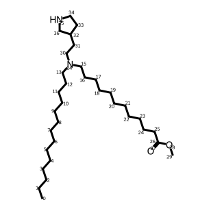 CCCCCCCCCCCCCCN(CCCCCCCCCCCC(=O)OC)CCC1CCNC1